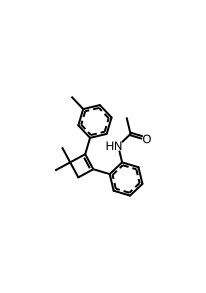 CC(=O)Nc1ccccc1C1=C(c2cccc(C)c2)C(C)(C)C1